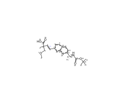 COCC(C)(/C=C/c1ccc2ccc([C@@H](C)NC(=O)OC(C)(C)C)nc2c1)C(=O)O